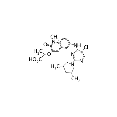 CC1CC(C)CN(c2ncc(Cl)c(Nc3ccc4c(c3)cc(OC(C)C(=O)O)c(=O)n4C)n2)C1